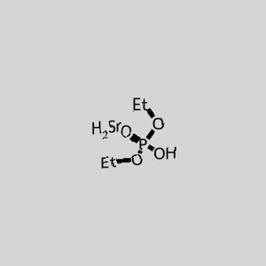 CCOP(=O)(O)OCC.[SrH2]